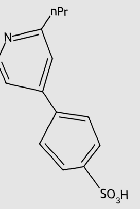 CCCc1cc(-c2ccc(S(=O)(=O)O)cc2)ccn1